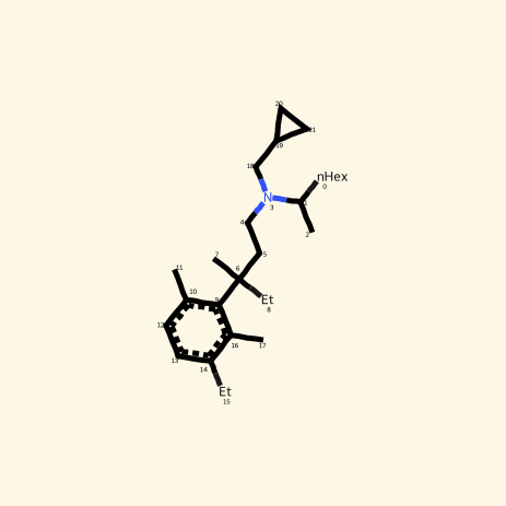 CCCCCCC(C)N(CCC(C)(CC)c1c(C)ccc(CC)c1C)CC1CC1